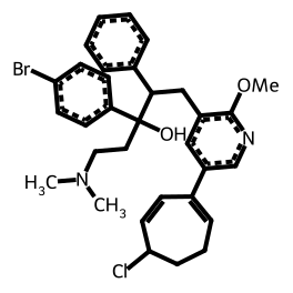 COc1ncc(C2=CCCC(Cl)C=C2)cc1CC(c1ccccc1)C(O)(CCN(C)C)c1ccc(Br)cc1